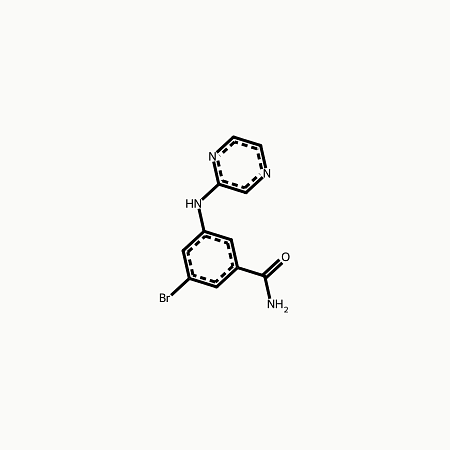 NC(=O)c1cc(Br)cc(Nc2cnccn2)c1